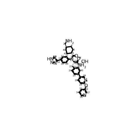 Cl.NC[C@H]1CC[C@H](C(=O)N(c2ccc(-c3nn[nH]n3)cc2)[C@@H](Cc2ccc(-c3ccc(Oc4cccnc4)nc3)cc2)C(N)=O)CC1